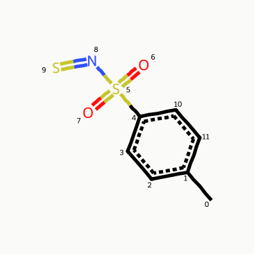 Cc1ccc(S(=O)(=O)N=S)cc1